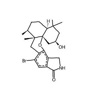 C[C@H]1CC[C@H]2C(C)(C)C[C@@H](O)C[C@]23Oc2c(c(Br)cc4c2CNC4=O)C[C@]13C